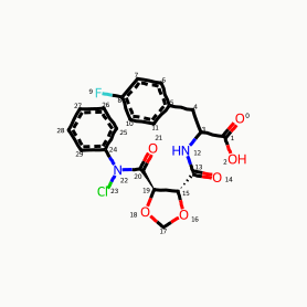 O=C(O)C(Cc1ccc(F)cc1)NC(=O)[C@@H]1OCO[C@H]1C(=O)N(Cl)c1ccccc1